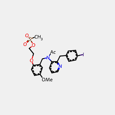 COc1ccc(OCCOS(C)(=O)=O)c(CN(C(C)=O)c2cccnc2Cc2ccc(I)cc2)c1